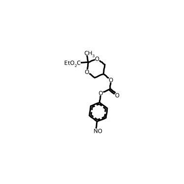 CCOC(=O)C1(C)OCC(OC(=O)Oc2ccc(N=O)cc2)CO1